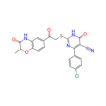 CC1Oc2ccc(C(=O)CSc3nc(-c4ccc(Cl)cc4)c(C#N)c(=O)[nH]3)cc2NC1=O